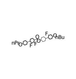 CCCCOc1ccc(C2CCC(OC(=O)c3ccc(-c4ccc(OCCC)cc4)c(F)c3F)CC2)c(F)c1